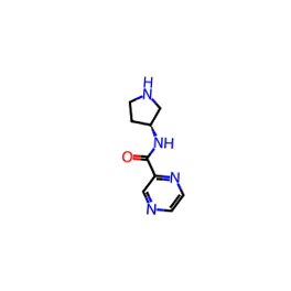 O=C(N[C@H]1CCNC1)c1cnccn1